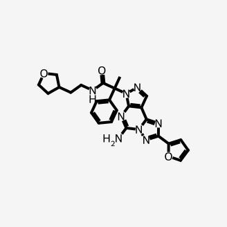 CC(C(=O)NCCC1CCOC1)(c1ccccc1)n1ncc2c1nc(N)n1nc(-c3ccco3)nc21